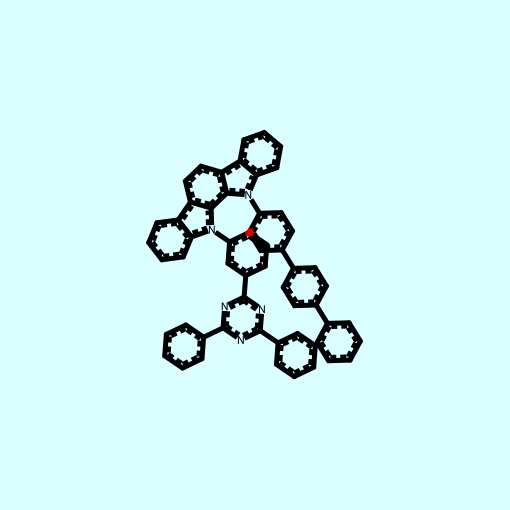 c1ccc(-c2ccc(-c3ccc(-n4c5ccccc5c5ccc6c7ccccc7n(-c7cccc(-c8nc(-c9ccccc9)nc(-c9ccccc9)n8)c7)c6c54)cc3)cc2)cc1